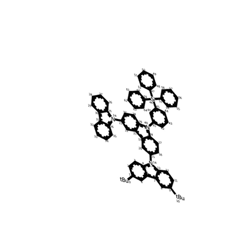 CC(C)(C)c1ccc2c(c1)c1cc(C(C)(C)C)ccc1n2-c1ccc2c(c1)c1cc(-n3c4ccccc4c4ccccc43)ccc1n2-c1cccc([Si](c2ccccc2)(c2ccccc2)c2ccccc2)c1